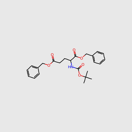 CC(C)(C)OC(=O)NC(CCC(=O)OCc1ccccc1)C(=O)OCc1ccccc1